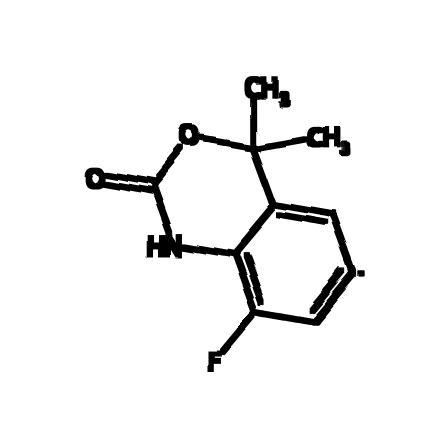 CC1(C)OC(=O)Nc2c(F)c[c]cc21